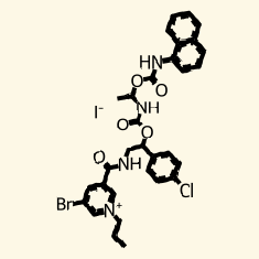 CCC[n+]1cc(Br)cc(C(=O)NCC(OC(=O)NC(C)OC(=O)Nc2cccc3ccccc23)c2ccc(Cl)cc2)c1.[I-]